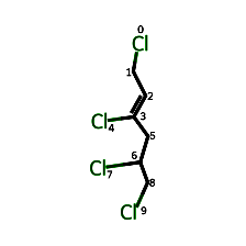 ClCC=C(Cl)CC(Cl)CCl